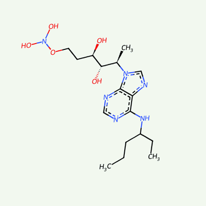 CCCC(CC)Nc1ncnc2c1ncn2[C@H](C)[C@H](O)[C@H](O)CCON(O)O